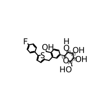 OCc1ccc([C@@H]2O[C@H](CO)[C@@H](O)[C@H](O)[C@H]2O)cc1Cc1ccc(-c2ccc(F)cc2)s1